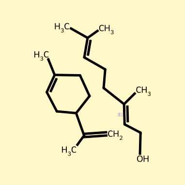 C=C(C)C1CC=C(C)CC1.CC(C)=CCC/C(C)=C/CO